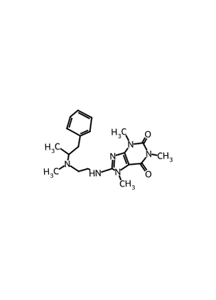 CC(Cc1ccccc1)N(C)CCNc1nc2c(c(=O)n(C)c(=O)n2C)n1C